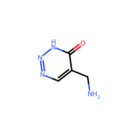 NCc1cnn[nH]c1=O